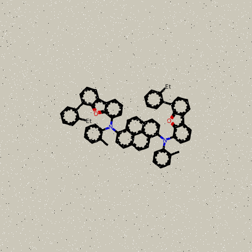 CCc1ccccc1-c1cccc2c1oc1c(N(c3ccccc3C)c3ccc4ccc5c(N(c6ccccc6C)c6cccc7c6oc6c(-c8ccccc8CC)cccc67)ccc6ccc3c4c65)cccc12